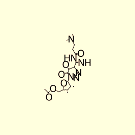 CC(=O)OCC1[CH][CH]C(N2N=NC(C(=N)NC(=O)CCN(C)C)C(=O)C2=O)O1